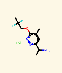 Cc1cc(C(C)N)nnc1OCC(C)(F)F.Cl